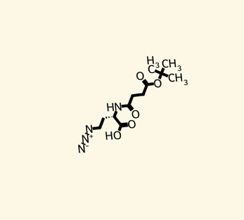 CC(C)(C)OC(=O)CCC(=O)N[C@@H](CCN=[N+]=[N-])C(=O)O